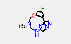 CCC(C)N1CCNc2ccn3ncc(c3n2)-c2cc(F)cc(c2)OCC1